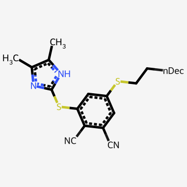 CCCCCCCCCCCCSc1cc(C#N)c(C#N)c(Sc2nc(C)c(C)[nH]2)c1